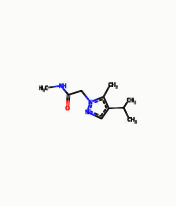 CNC(=O)Cn1ncc(C(C)C)c1C